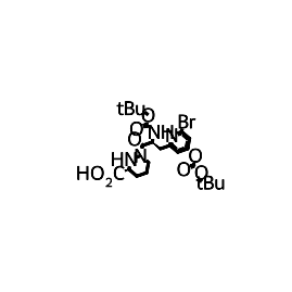 CC(C)(C)OC(=O)N[C@@H](Cc1cc(OC(=O)OC(C)(C)C)cc(Br)n1)C(=O)N1CCC[C@@H](C(=O)O)N1